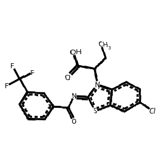 CCC(C(=O)O)n1c(=NC(=O)c2cccc(C(F)(F)F)c2)sc2cc(Cl)ccc21